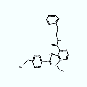 COc1ccc(C(=O)Nc2c(OC)cccc2C(=O)NCCc2ccccc2)cc1